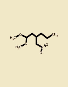 CCCC(CC(OC)OC)C[N+](=O)[O-]